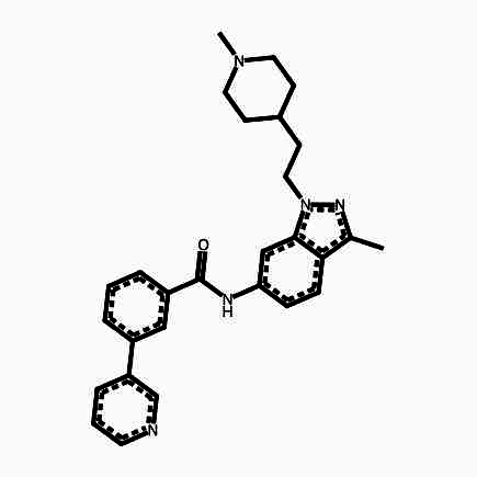 Cc1nn(CCC2CCN(C)CC2)c2cc(NC(=O)c3cccc(-c4cccnc4)c3)ccc12